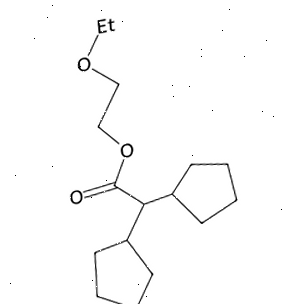 CCOCCOC(=O)C(C1CCCC1)C1CCCC1